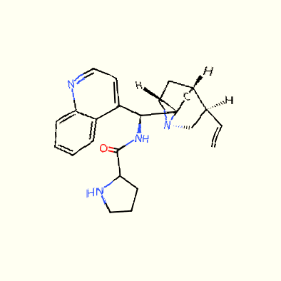 C=C[C@H]1C[N@]2CC[C@H]1C[C@H]2[C@@H](NC(=O)C1CCCN1)c1ccnc2ccccc12